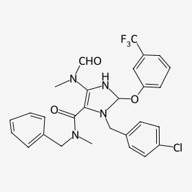 CN(C=O)C1=C(C(=O)N(C)Cc2ccccc2)N(Cc2ccc(Cl)cc2)C(Oc2cccc(C(F)(F)F)c2)N1